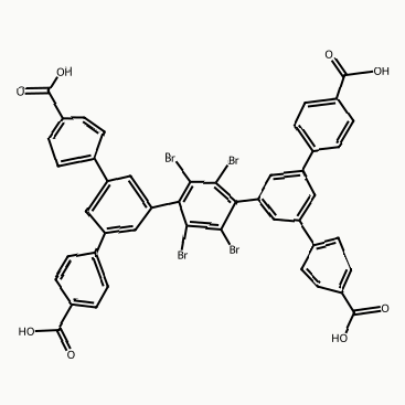 O=C(O)c1ccc(-c2cc(-c3ccc(C(=O)O)cc3)cc(-c3c(Br)c(Br)c(-c4cc(-c5ccc(C(=O)O)cc5)cc(-c5ccc(C(=O)O)cc5)c4)c(Br)c3Br)c2)cc1